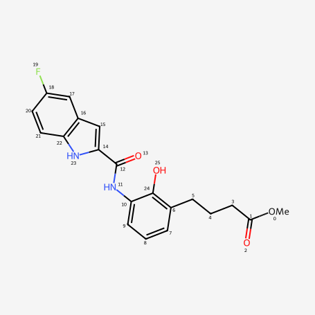 COC(=O)CCCc1cccc(NC(=O)c2cc3cc(F)ccc3[nH]2)c1O